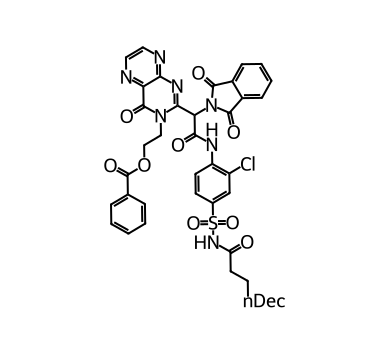 CCCCCCCCCCCCC(=O)NS(=O)(=O)c1ccc(NC(=O)C(c2nc3nccnc3c(=O)n2CCOC(=O)c2ccccc2)N2C(=O)c3ccccc3C2=O)c(Cl)c1